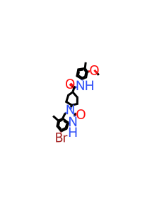 COc1cc(NC(=O)C2CCC(N3Cc4c(C)cc(Br)cc4NC3=O)CC2)ccc1C